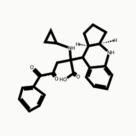 O=C(CC(NC1CC1)(C(=O)O)C1c2ccccc2N[C@@H]2CCC[C@H]12)C(=O)c1ccccc1